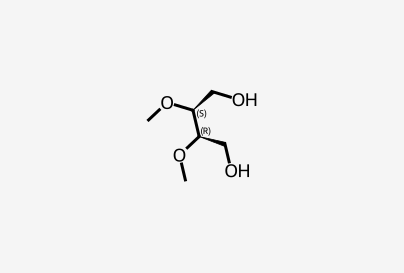 CO[C@@H](CO)[C@@H](CO)OC